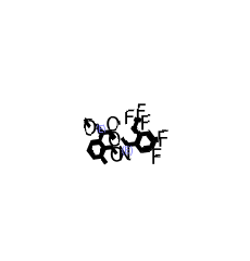 CO/C=C(/C(=O)OC)c1cccc(C)c1CO/N=C(\C)c1cc(F)c(F)cc1CC(F)(F)F